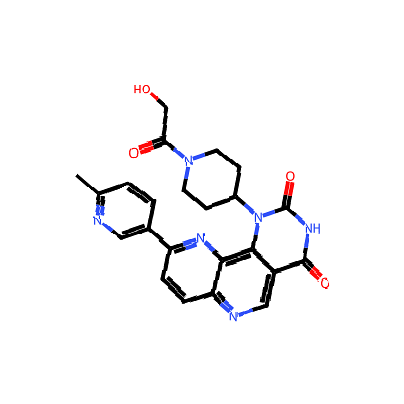 Cc1ccc(-c2ccc3ncc4c(=O)[nH]c(=O)n(C5CCN(C(=O)CO)CC5)c4c3n2)cn1